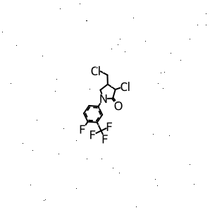 O=C1C(Cl)C(CCl)CN1c1ccc(F)c(C(F)(F)F)c1